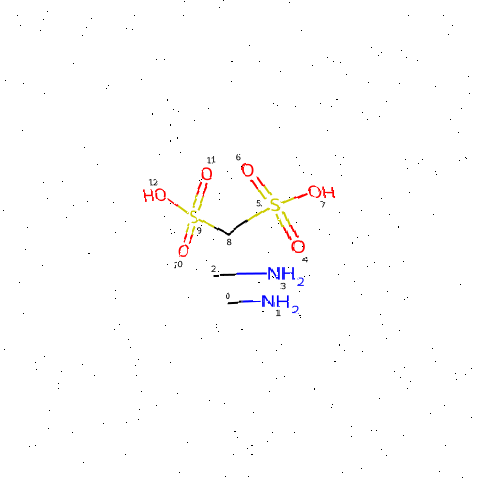 CN.CN.O=S(=O)(O)CS(=O)(=O)O